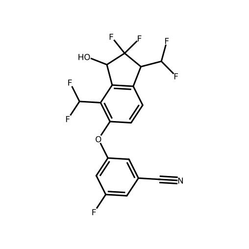 N#Cc1cc(F)cc(Oc2ccc3c(c2C(F)F)C(O)C(F)(F)C3C(F)F)c1